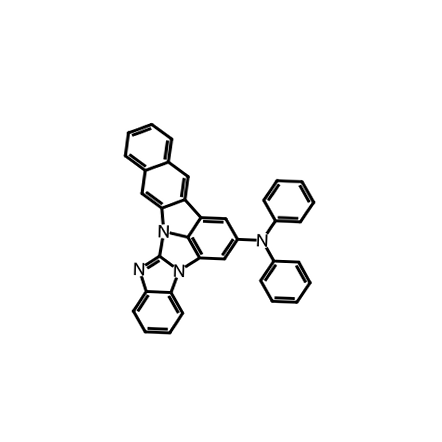 c1ccc(N(c2ccccc2)c2cc3c4cc5ccccc5cc4n4c3c(c2)n2c3ccccc3nc24)cc1